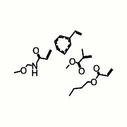 C=C(C)C(=O)OC.C=CC(=O)NCOC.C=CC(=O)OCCCC.C=Cc1ccccc1